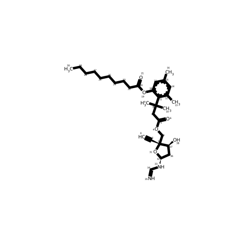 C#C[C@]1(COC(=O)CC(C)(C)c2c(C)cc(C)cc2OC(=O)CCCCCCCCC)O[C@@H](NC=N)C[C@@H]1O